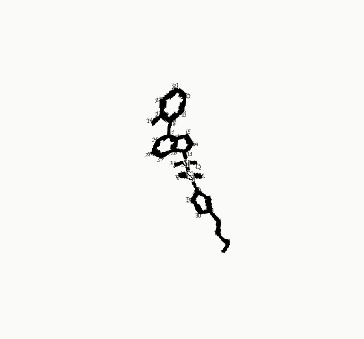 CCCCC1=CC([Si](C)(C)[Si](C)(C)C2C=Cc3c(-c4ccccc4C)cccc32)C=C1